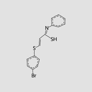 SC(C=CSc1ccc(Br)cc1)=Nc1ccccc1